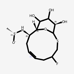 C[S@@+]([O-])N[C@@H]1C/C=C\CC(F)CSC2O[C@H]1C(O)C(O)[C@H]2O